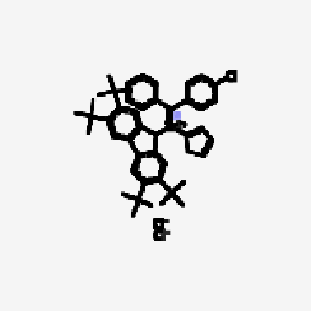 CC(C)(C)c1cc2c(cc1C(C)(C)C)[CH](/[Zr+2]([C]1=CC=CC1)=[C](\c1ccccc1)c1ccc(Cl)cc1)c1cc(C(C)(C)C)c(C(C)(C)C)cc1-2.[Cl-].[Cl-]